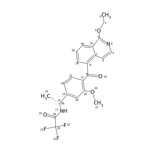 CCOc1nccc2c(C(=O)c3ccc([C@@H](C)NC(=O)C(F)(F)F)cc3OC)cccc12